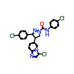 O=C(Nc1ccc(Cl)cc1)N1CC(c2ccc3ncc(Cl)n3c2)C(c2ccc(Cl)cc2)=N1